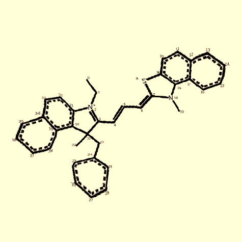 CC[N+]1=C(/C=C/C=C2\Sc3ccc4ccccc4c3N2C)C(C)(Cc2ccccc2)c2c1ccc1ccccc21